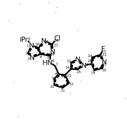 CC(C)n1cnc2c(NCc3ccccc3-c3cnn(-c4ccnc(F)c4)c3)nc(Cl)nc21